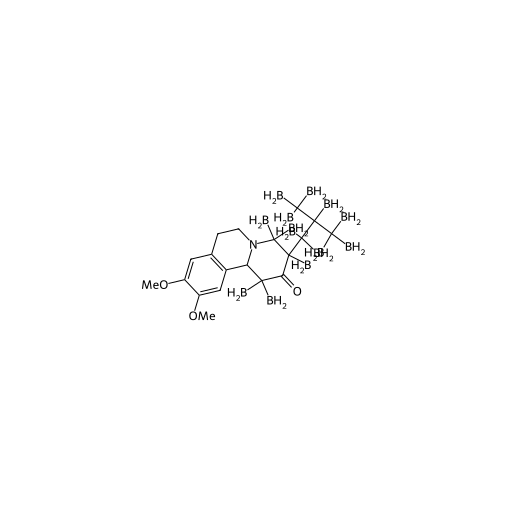 BC1(B)C(=O)C(B)(C(B)(B)C(B)(C(B)(B)B)C(B)(B)B)C(B)(B)N2CCc3cc(OC)c(OC)cc3C21